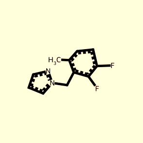 Cc1ccc(F)c(F)c1Cn1cccn1